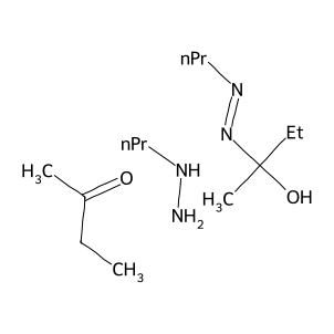 CCC(C)=O.CCCN=NC(C)(O)CC.CCCNN